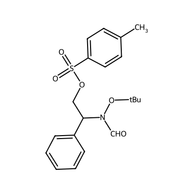 Cc1ccc(S(=O)(=O)OCC(c2ccccc2)N(C=O)OC(C)(C)C)cc1